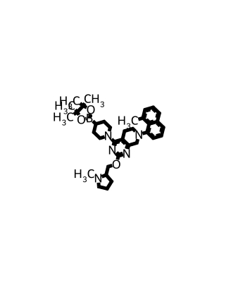 Cc1cccc2cccc(N3CCc4c(nc(OCC5CCCN5C)nc4N4CCC(B5OC(C)(C)C(C)(C)O5)CC4)C3)c12